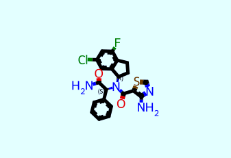 NC(=O)[C@H](c1ccccc1)N(C(=O)c1scnc1N)[C@@H]1CCc2c(F)cc(Cl)cc21